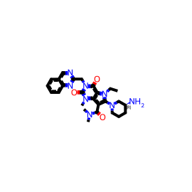 CCn1c(N2CCC[C@@H](N)C2)c(C(=O)N(C)C)c2c1c(=O)n(Cc1ncc3ccccc3n1)c(=O)n2C